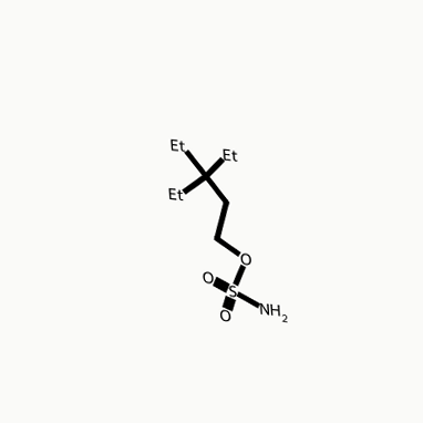 CCC(CC)(CC)CCOS(N)(=O)=O